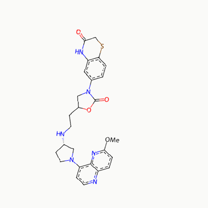 COc1ccc2nccc(N3CC[C@H](NCCC4CN(c5ccc6c(c5)NC(=O)CS6)C(=O)O4)C3)c2n1